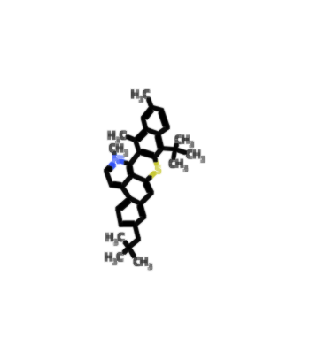 Cc1ccc2c(C(C)(C)C)c3c(c(C)c2c1)-c1c2c(cc4cc(CC(C)(C)C)ccc4c2cc[n+]1C)S3